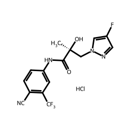 C[C@](O)(Cn1cc(F)cn1)C(=O)Nc1ccc(C#N)c(C(F)(F)F)c1.Cl